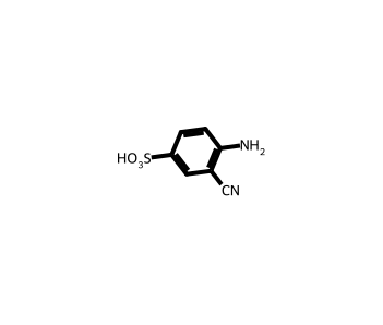 N#Cc1cc(S(=O)(=O)O)ccc1N